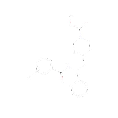 CC(C)(C)OC(=O)N1CCC(CC(NC(=O)c2cccc(Cl)c2)c2ccccc2)CC1